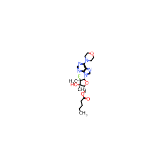 CCCCC(=O)OC[C@H]1O[C@@H](n2cnc3c(N4CCOCC4)ncnc32)[C@](C)(F)[C@@]1(C)O